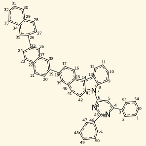 c1ccc(-c2cc(-n3c4ccccc4c4c5ccc(-c6ccc7ccc(-c8ccc9ccccc9c8)cc7c6)cc5ccc43)nc(-c3ccccc3)n2)cc1